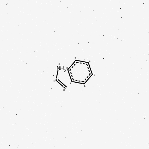 C=CN.c1ccccc1